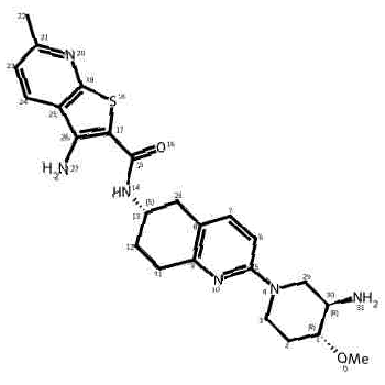 CO[C@@H]1CCN(c2ccc3c(n2)CC[C@H](NC(=O)c2sc4nc(C)ccc4c2N)C3)C[C@H]1N